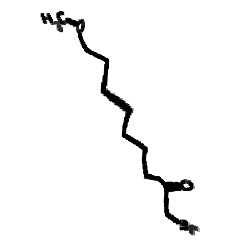 COCCCCCCCC(=O)CBr